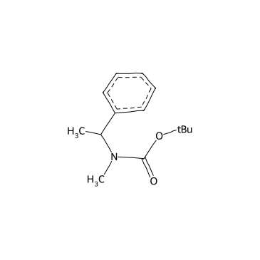 CC(c1ccccc1)N(C)C(=O)OC(C)(C)C